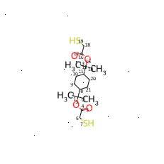 CC(C)(OC(=O)CS)C1CCC(C(C)(C)OC(=O)CS)CC1